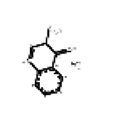 Cl.O=C(O)C1C=Nc2ccccc2C1=O